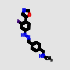 CNCc1ccc(C=NNc2ccc(-c3cnco3)c(I)c2)cc1